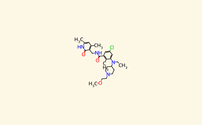 CCN(c1cc(Cl)cc(C(=O)NCc2c(C)cc(C)[nH]c2=O)c1C)C1CCN(CCOC)CC1